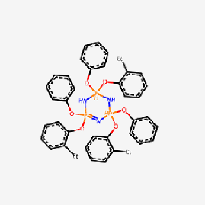 CCc1ccccc1OP1(Oc2ccccc2)=N[PH](Oc2ccccc2)(Oc2ccccc2CC)N[PH](Oc2ccccc2)(Oc2ccccc2CC)N1